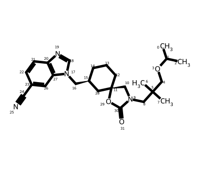 CC(C)OCC(C)(C)CN1C[C@@]2(CCC[C@H](Cn3cnc4ccc(C#N)cc43)C2)OC1=O